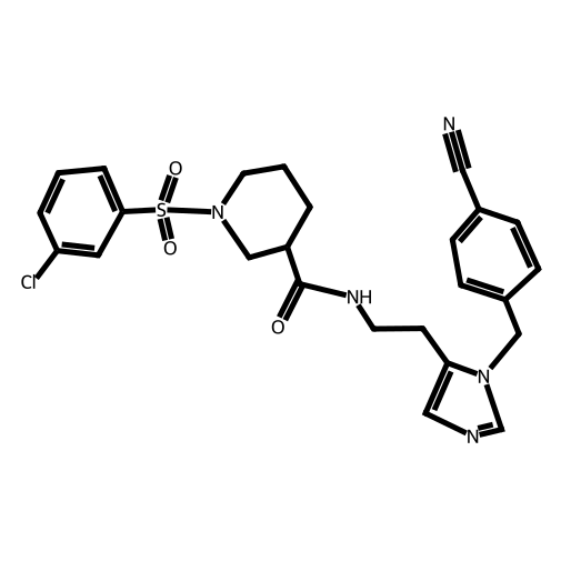 N#Cc1ccc(Cn2cncc2CCNC(=O)C2CCCN(S(=O)(=O)c3cccc(Cl)c3)C2)cc1